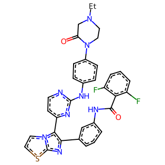 CCN1CCN(c2ccc(Nc3nccc(-c4c(-c5cccc(NC(=O)c6c(F)cccc6F)c5)nc5sccn45)n3)cc2)C(=O)C1